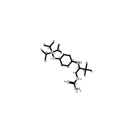 CC(C)[Si](OC1CCC(NC(COC(N)=O)C(C)(C)C)CC1)(C(C)C)C(C)C